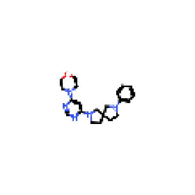 c1ccc(N2CCC3(CCN(c4cc(N5CCOCC5)ncn4)C3)C2)cc1